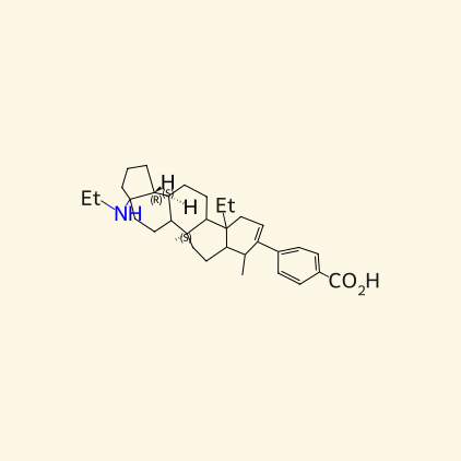 CCNC12CCC[C@@H]1[C@H]1CCC3C4(CC)CC=C(c5ccc(C(=O)O)cc5)C(C)C4CC[C@@]3(C)C1CC2